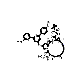 COc1cccc(-c2cc(O[C@@H]3C[C@H]4C(=O)NC5(C(=O)NS(=O)(=O)C6(C)CC6)C[C@H]5/C=C\CC[C@@H](C)C[C@@H](C)[C@H](NC(=O)O)C(=O)N4C3)cc(-c3ccc(OC(C)C)cc3)n2)n1